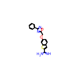 N=C(N)c1cc2ccc(OCc3nc(-c4ccccc4)no3)cc2s1